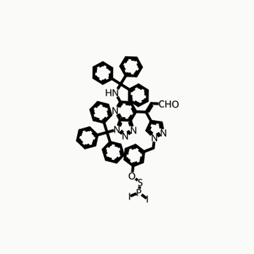 O=C/C=C(\c1cnn(Cc2cccc(OSP(I)I)c2)c1)c1cc(NC(c2ccccc2)(c2ccccc2)c2ccccc2)nc2c1nnn2C(c1ccccc1)(c1ccccc1)c1ccccc1